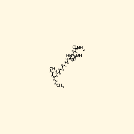 CCCCC(CCCC)CCCCCCCCCCC(=O)N[C@@H](CCC(N)=O)C(=O)O